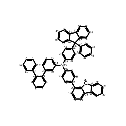 c1ccc(-c2ccccc2-c2cccc(N(c3ccc(-c4cccc5c4oc4ccccc45)cc3)c3ccc(C4(c5ccccc5)c5ccccc5-c5ccccc54)cc3)c2)cc1